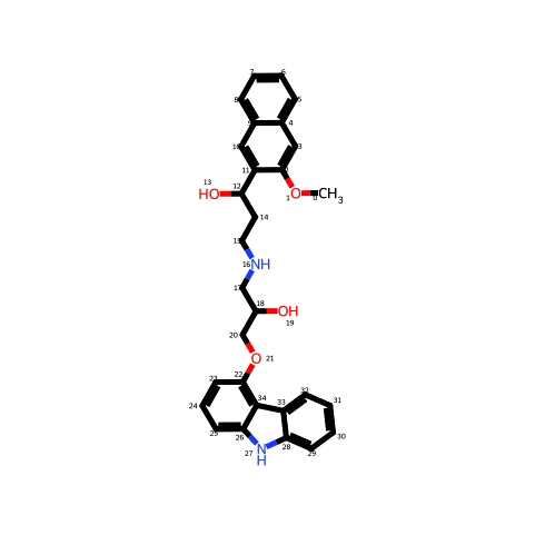 COc1cc2ccccc2cc1C(O)CCNCC(O)COc1cccc2[nH]c3ccccc3c12